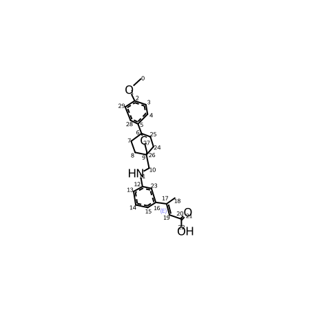 COc1ccc(C23CCC(CNc4cccc(/C(C)=C/C(=O)O)c4)(CC2)CC3)cc1